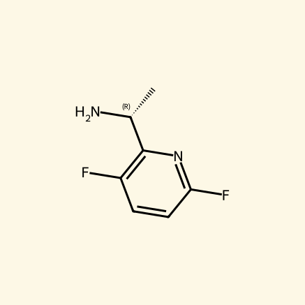 C[C@@H](N)c1nc(F)ccc1F